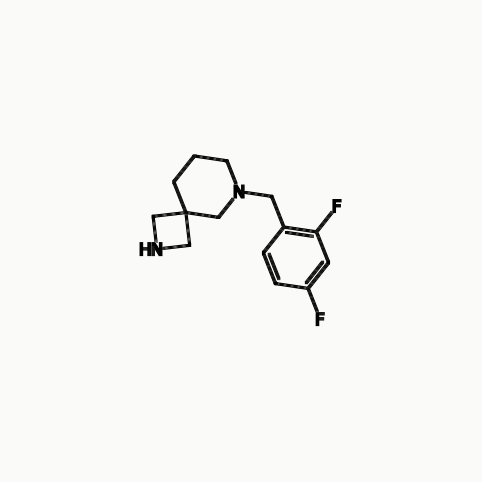 Fc1ccc(CN2CCCC3(CNC3)C2)c(F)c1